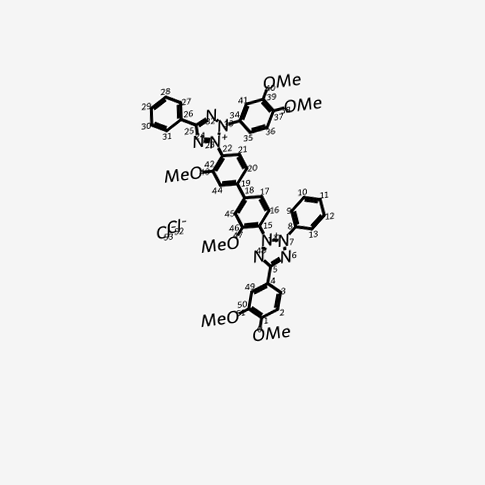 COc1ccc(-c2nn(-c3ccccc3)[n+](-c3ccc(-c4ccc(-[n+]5nc(-c6ccccc6)nn5-c5ccc(OC)c(OC)c5)c(OC)c4)cc3OC)n2)cc1OC.[Cl-].[Cl-]